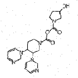 O=C(OC(=O)N1CCC(N2C=CC=NC2)C(N2C=CC=NC2)C1)N1CCC(O)C1